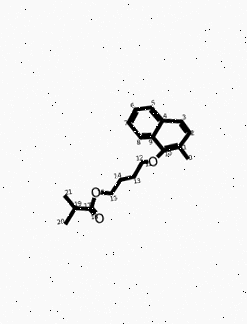 Cc1ccc2ccccc2c1OCCCCOC(=O)C(C)C